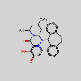 COCC[C@H]1N([C@H](C)C(F)(F)F)C(=O)c2c(O)c(=O)ccn2N1C1c2ccccc2CCc2ccccc21